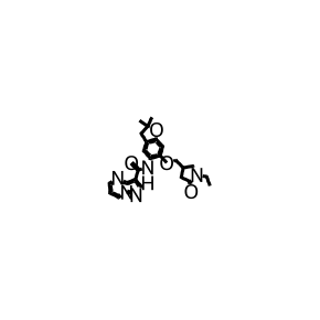 CCN1CC(COc2cc3c(cc2NC(=O)c2cnn4cccnc24)CC(C)(C)O3)CC1=O